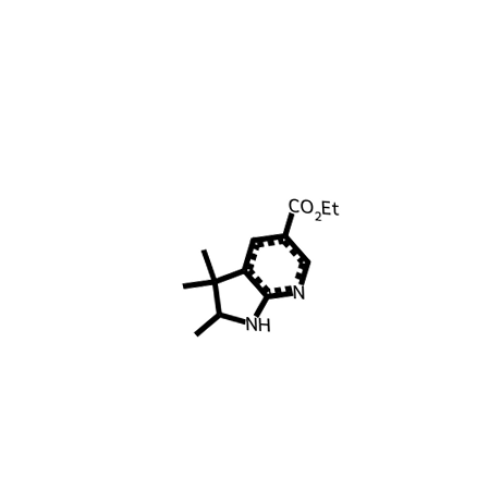 CCOC(=O)c1cnc2c(c1)C(C)(C)C(C)N2